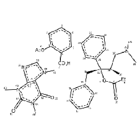 CC(=O)Oc1ccccc1C(=O)O.CCC(=O)O[C@](Cc1ccccc1)(c1ccccc1)[C@H](C)CN(C)C.Cn1c(=O)c2c(ncn2C)n(C)c1=O